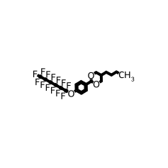 CCCCC1COC(c2ccc(OC(F)(F)C(F)(F)C(F)(F)C(F)(F)C(F)(F)C(F)(F)F)cc2)OC1